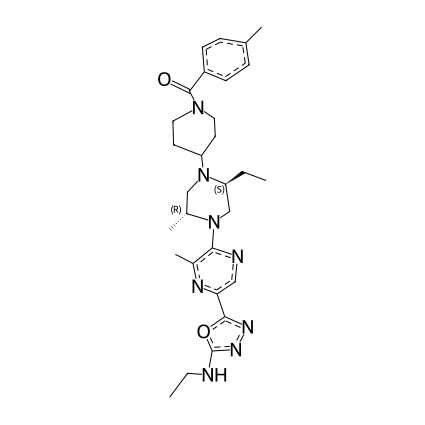 CCNc1nnc(-c2cnc(N3C[C@H](CC)N(C4CCN(C(=O)c5ccc(C)cc5)CC4)C[C@H]3C)c(C)n2)o1